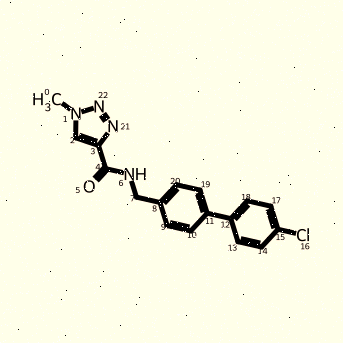 Cn1cc(C(=O)NCc2ccc(-c3ccc(Cl)cc3)cc2)nn1